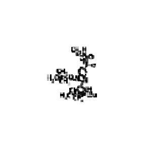 CC(C)(C)[S@@+]([O-])N[C@@H](COC(C)(C)C(F)(F)F)c1nc2cc([C@@H](C3CC3)N3C[C@@H](CC(F)(F)F)NC3=O)ccc2n1COCC[Si](C)(C)C